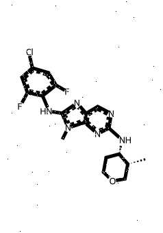 C[C@@H]1COCC[C@@H]1Nc1ncc2nc(Nc3c(F)cc(Cl)cc3F)n(C)c2n1